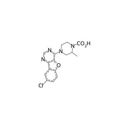 CC1CN(c2ncnc3c2oc2ccc(Cl)cc23)CCN1C(=O)O